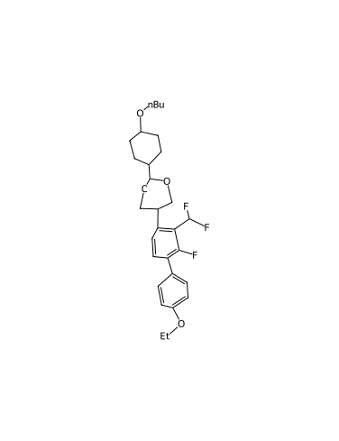 CCCCOC1CCC(C2CCC(c3ccc(-c4ccc(OCC)cc4)c(F)c3C(F)F)CO2)CC1